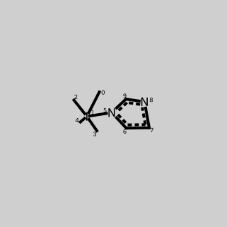 CI(C)(C)(C)n1ccnc1